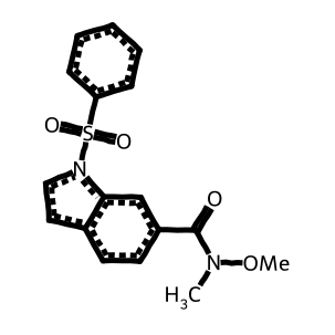 CON(C)C(=O)c1ccc2ccn(S(=O)(=O)c3ccccc3)c2c1